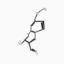 COc1ccc2c(c1)CC(C)C(C=O)=C2